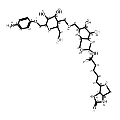 Nc1ccc(OCC2OC(CO)C(COCC3OC4COC(NC(=O)CCCCC5SCC6NC(=O)NC65)OC4C(O)C3O)C(O)C2O)cc1